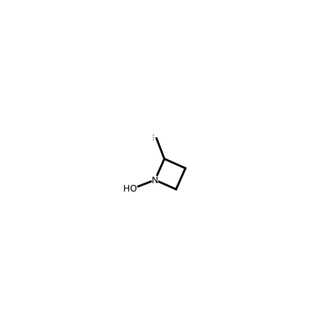 [C]C1CCN1O